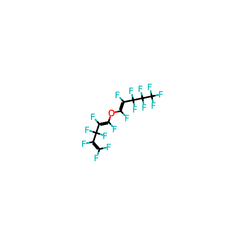 FC(F)=C(F)C(F)(F)C(F)=C(F)OC(F)=C(F)C(F)(F)C(F)(F)C(F)(F)F